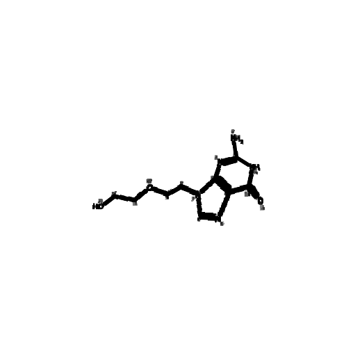 Nc1nc2c(ncn2CCOCCO)c(=O)[nH]1